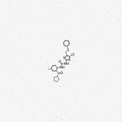 Cc1ccc(NC(=O)Nc2nc(CSc3ccccc3)c(Cl)s2)c(C(=O)C2CCCC2)c1